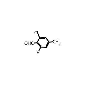 Cc1cc(F)c(C=O)c(Cl)c1